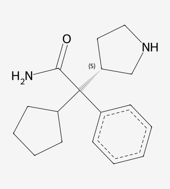 NC(=O)C(c1ccccc1)(C1CCCC1)[C@@H]1CCNC1